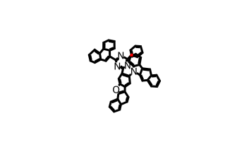 c1ccc(-c2nc(-c3cc4oc5c6ccccc6ccc5c4cc3-n3c4ccccc4c4cc5ccccc5cc43)nc(-c3cc4ccccc4c4ccccc34)n2)cc1